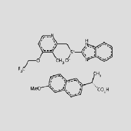 COc1ccc2cc([C@H](C)C(=O)O)ccc2c1.Cc1c(OCC(F)(F)F)ccnc1C[S+]([O-])c1nc2ccccc2[nH]1